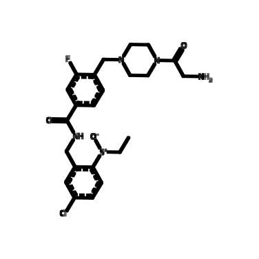 CC[S+]([O-])c1ccc(Cl)cc1CNC(=O)c1ccc(CN2CCN(C(=O)CN)CC2)c(F)c1